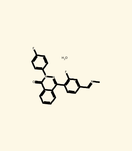 C/N=C/c1ccc(-c2nn(-c3ccc(F)cc3)c(=O)c3ccccc23)c(F)c1.O